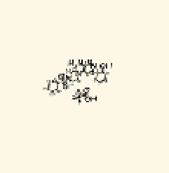 Nc1nnc(-c2ccccc2O)cc1N1CCN(S(=O)(=O)c2ccccc2)CC1.O=C(O)C(F)(F)F